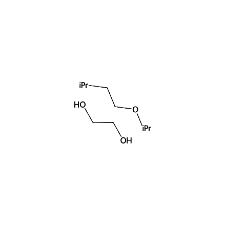 CC(C)CCOC(C)C.OCCO